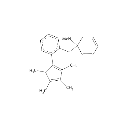 CNC1(Cc2ccccc2C2=C(C)C(C)=C(C)C2C)C=CC=CC1